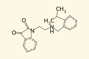 CC(C)c1ccccc1CNCCN1C(=O)C(=O)c2ccccc21